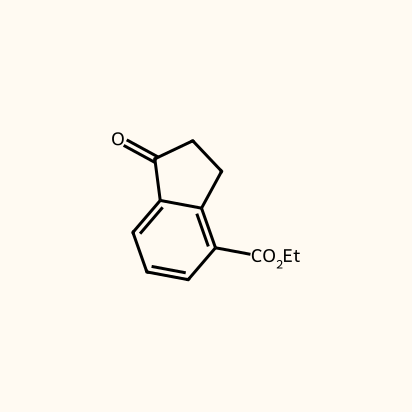 CCOC(=O)c1cccc2c1CCC2=O